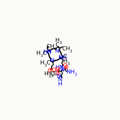 C=CC1=C(C)c2cc3[nH]c(cc4nc(cc5[nH]c(cc1n2)c(C)c5CCC(=O)NN(C(=O)CN)[C@@H](Cc1c[nH]cn1)C(=O)OC)C(CCC(=O)OCC)=C4C)c(C)c3C=C